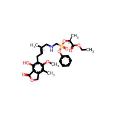 CCOC(=O)[C@H](C)OP(=O)(CNC/C(C)=C/Cc1c(O)c2c(c(C)c1OC)COC2=O)Oc1ccccc1